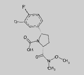 CON(C)C(=O)[C@H]1CC[C@@H](c2ccc(F)c(Cl)c2)N1C(=O)O